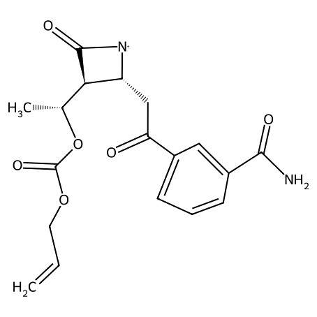 C=CCOC(=O)O[C@H](C)[C@H]1C(=O)[N][C@@H]1CC(=O)c1cccc(C(N)=O)c1